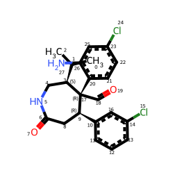 CC(C)[C@@H]1CNC(=O)C[C@H](c2cccc(Cl)c2)[C@]1(C=O)c1ccc(Cl)cc1N